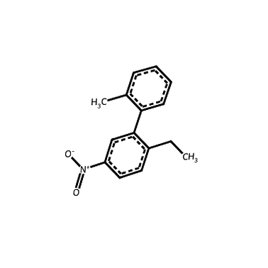 CCc1ccc([N+](=O)[O-])cc1-c1ccccc1C